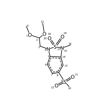 COC(CN1c2ccc(S(C)(=O)=O)cc2N(C)S1(=O)=O)OC